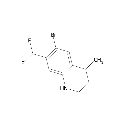 CC1CCNc2cc(C(F)F)c(Br)cc21